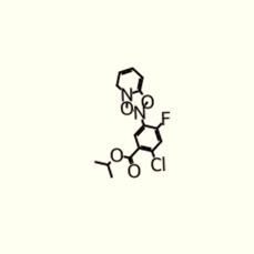 CC(C)OC(=O)c1cc(N2OC3=CC=CCN3O2)c(F)cc1Cl